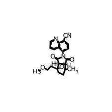 CC12CCC(CCOS)(O1)[C@H]1C(=O)N(c3ccc(C#N)c4ncccc34)C(=O)[C@H]12